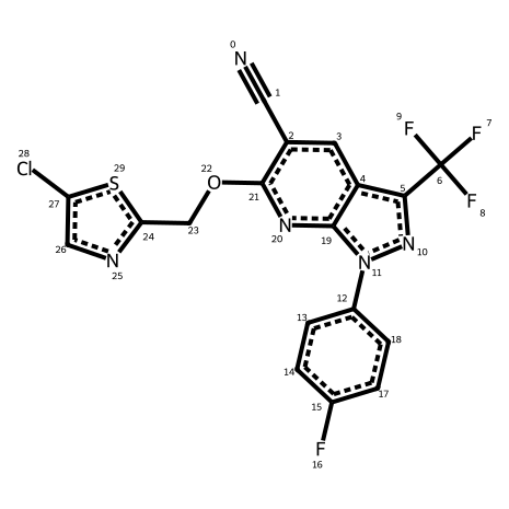 N#Cc1cc2c(C(F)(F)F)nn(-c3ccc(F)cc3)c2nc1OCc1ncc(Cl)s1